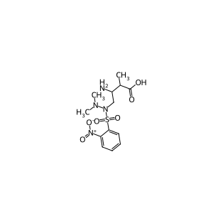 CC(C(=O)O)C(N)CN(N(C)C)S(=O)(=O)c1ccccc1[N+](=O)[O-]